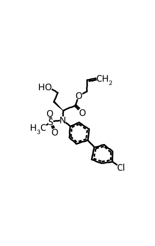 C=CCOC(=O)[C@H](CCO)N(c1ccc(-c2ccc(Cl)cc2)cc1)S(C)(=O)=O